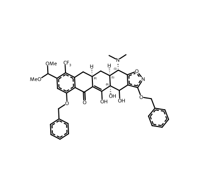 COC(OC)c1cc(OCc2ccccc2)c2c(c1C(F)(F)F)C[C@H]1C[C@H]3[C@H](N(C)C)c4onc(OCc5ccccc5)c4C(O)[C@@]3(O)C(O)=C1C2=O